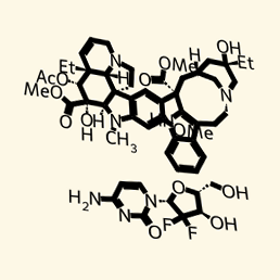 CC[C@]1(O)C[C@@H]2C[N@@](CCc3c([nH]c4ccccc34)[C@@](C(=O)OC)(c3cc4c(cc3OC)N(C)[C@H]3[C@@](O)(C(=O)OC)[C@H](OC(C)=O)[C@]5(CC)C=CCN6CC[C@]43[C@@H]65)C2)C1.Nc1ccn([C@@H]2O[C@H](CO)[C@@H](O)C2(F)F)c(=O)n1